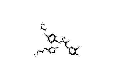 CN(C(=O)Cc1ccc(Cl)c(Cl)c1)[C@H](CN1CCC(OCCO)C1)c1ccc(OCCO)cc1